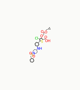 O=C(COc1c(C(=O)O)sc(-c2cccc(NC3CCN(S(=O)(=O)Cc4ccccc4)CC3)c2)c1Cl)OCC1CC1